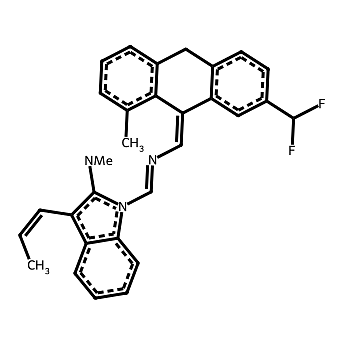 C/C=C\c1c(NC)n(/C=N/C=C2/c3cc(C(F)F)ccc3Cc3cccc(C)c32)c2ccccc12